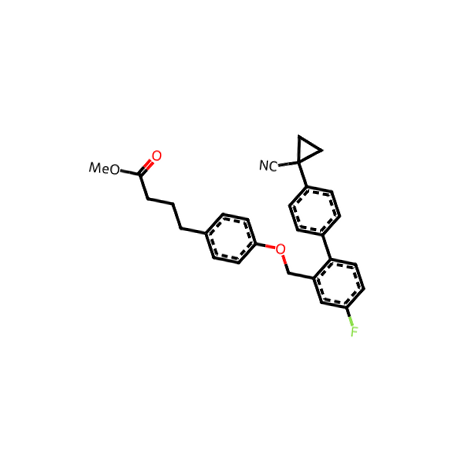 COC(=O)CCCc1ccc(OCc2cc(F)ccc2-c2ccc(C3(C#N)CC3)cc2)cc1